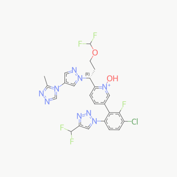 Cc1nncn1-c1cnn([C@H](CCOC(F)F)c2ccc(-c3c(-n4cc(C(F)F)nn4)ccc(Cl)c3F)c[n+]2O)c1